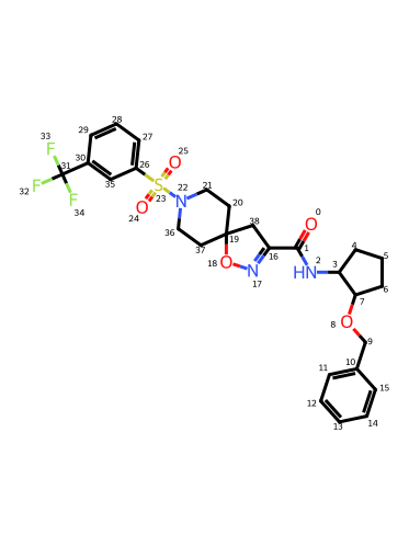 O=C(NC1CCCC1OCc1ccccc1)C1=NOC2(CCN(S(=O)(=O)c3cccc(C(F)(F)F)c3)CC2)C1